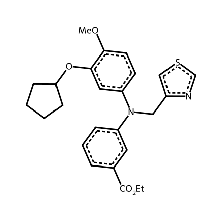 CCOC(=O)c1cccc(N(Cc2cscn2)c2ccc(OC)c(OC3CCCC3)c2)c1